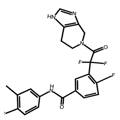 Cc1cc(NC(=O)c2ccc(F)c(C(F)(F)C(=O)N3CCc4[nH]cnc4C3)c2)ccc1F